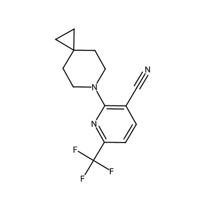 N#Cc1ccc(C(F)(F)F)nc1N1CCC2(CC1)CC2